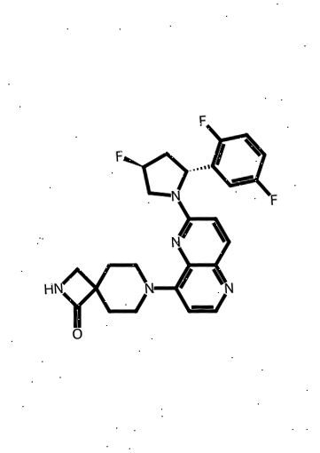 O=C1NCC12CCN(c1ccnc3ccc(N4C[C@@H](F)C[C@@H]4c4cc(F)ccc4F)nc13)CC2